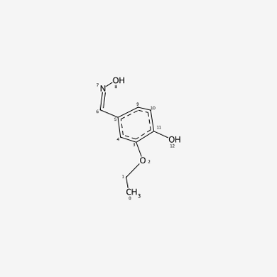 CCOc1cc(/C=N\O)ccc1O